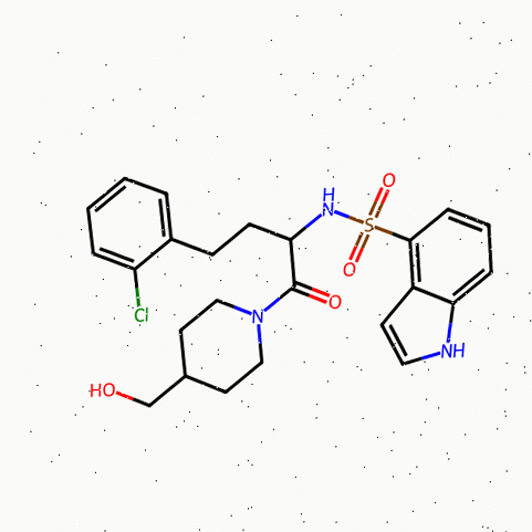 O=C(C(CCc1ccccc1Cl)NS(=O)(=O)c1cccc2[nH]ccc12)N1CCC(CO)CC1